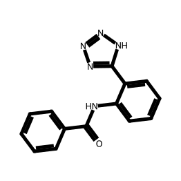 O=C(Nc1ccccc1-c1nnn[nH]1)c1ccccc1